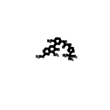 CSc1ncc2cc(-c3cc(NC(=O)Nc4cnn(C(C)(C)C)c4)ccc3C)c(=O)n(C)c2n1